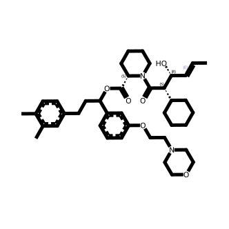 C/C=C/[C@@H](O)[C@@H](C(=O)N1CCCC[C@H]1C(=O)OC(CCc1ccc(C)c(C)c1)c1cccc(OCCN2CCOCC2)c1)C1CCCCC1